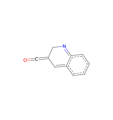 O=C=C1C=c2ccccc2=NC1